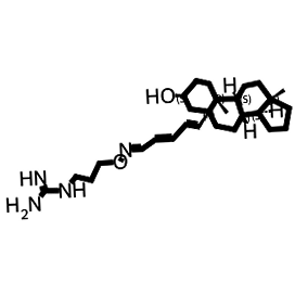 C[C@@]12CCC[C@H]1[C@@H]1CC[C@]3(C=CC=CC=NOCCCNC(=N)N)C[C@@H](O)CC[C@]3(C)[C@H]1CC2